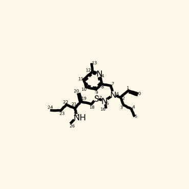 C=CC(CCC)N(Cc1cccc(C)n1)N(C)SCC(=C)C(CCC)NC